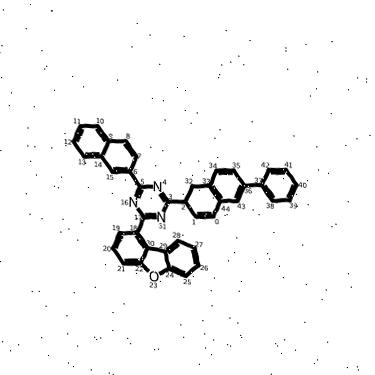 C1=CC(c2nc(-c3ccc4ccccc4c3)nc(-c3cccc4oc5ccccc5c34)n2)Cc2ccc(-c3ccccc3)cc21